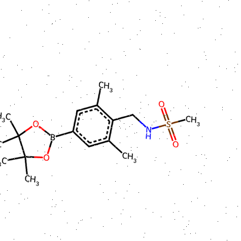 Cc1cc(B2OC(C)(C)C(C)(C)O2)cc(C)c1CNS(C)(=O)=O